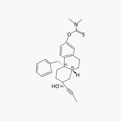 CC#C[C@@]1(O)CC[C@@]2(Cc3ccccc3)c3ccc(OC(=S)N(C)C)cc3CC[C@@H]2C1